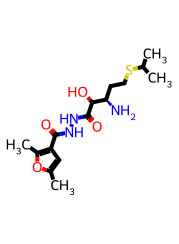 Cc1cc(C(=O)NNC(=O)C(O)[C@H](N)CCSC(C)C)c(C)o1